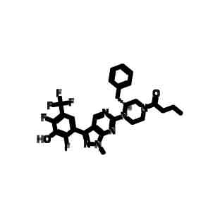 CCCC(=O)N1CCN(c2ncc3c(-c4cc(C(F)(F)F)c(F)c(O)c4F)nn(C)c3n2)[C@H](Cc2ccccc2)C1